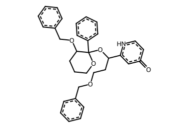 O=c1cc[nH]c(C(CCOCc2ccccc2)OC2(c3ccccc3)OCCCC2OCc2ccccc2)c1